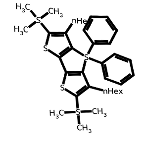 CCCCCCc1c(S(C)(C)C)sc2c1S(c1ccccc1)(c1ccccc1)c1c-2sc(S(C)(C)C)c1CCCCCC